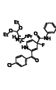 CCCC.CCOC(C)OCC.O=C(C1=CC(F)(C(=O)Nc2ccccc2)C=CN1)c1ccc(Cl)cc1